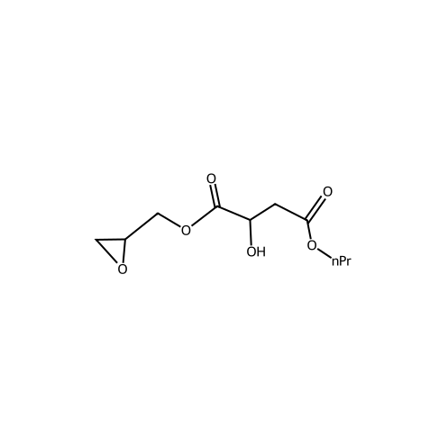 CCCOC(=O)CC(O)C(=O)OCC1CO1